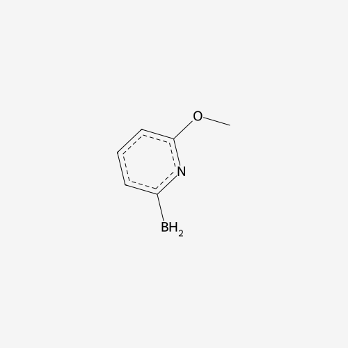 Bc1cccc(OC)n1